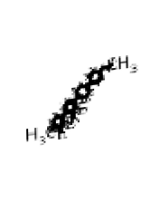 CCCC1C=CC(C2CCC(c3ccc(-c4ccc(C)c(F)c4F)c(F)c3F)CC2)CC1